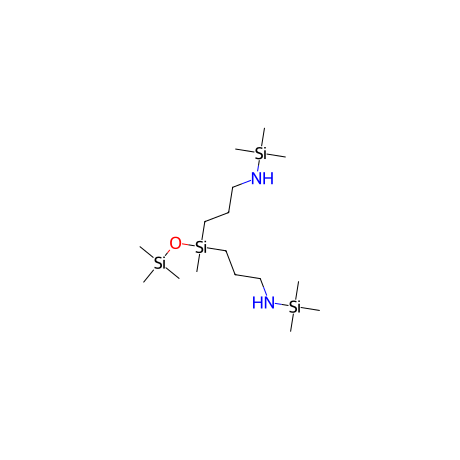 C[Si](C)(C)NCCC[Si](C)(CCCN[Si](C)(C)C)O[Si](C)(C)C